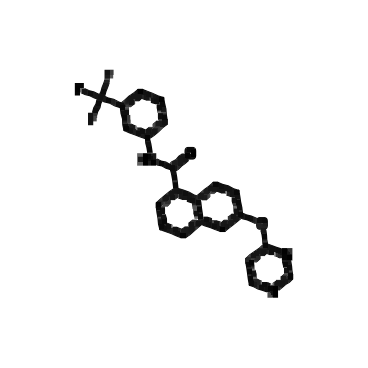 O=C(Nc1cccc(C(F)(F)F)c1)c1cccc2cc(Oc3ccncn3)ccc12